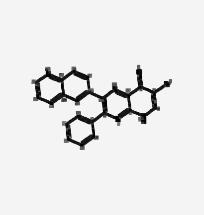 O=c1c(Br)c[nH]c2nc(-c3ccccc3)c(-c3ccc4ncccc4c3)nc12